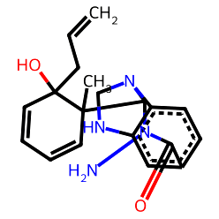 C=CCC1(O)C=CC=CC1(C)C1N(N)C(=O)c2ccc3c(c2)NCN31